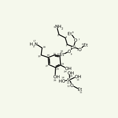 CCO[Si](CCCN)(OCC)OCC.CCO[Si](O)(O)O.NCCc1ccc(O)c(O)c1